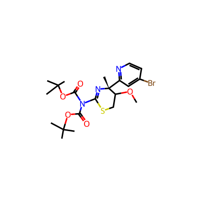 COC1CSC(N(C(=O)OC(C)(C)C)C(=O)OC(C)(C)C)=N[C@]1(C)c1cc(Br)ccn1